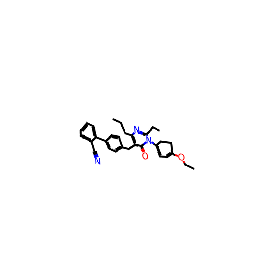 CCCc1nc(CC)n(C2=CC=C(OCC)CC2)c(=O)c1Cc1ccc(-c2ccccc2C#N)cc1